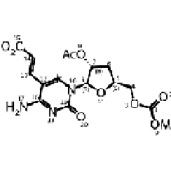 COC(=O)OC[C@@H]1C[C@@H](OC(C)=O)[C@H](n2cc(C=CC(=O)O)c(N)nc2=O)O1